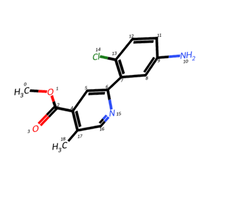 COC(=O)c1cc(-c2cc(N)ccc2Cl)ncc1C